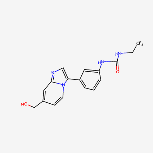 O=C(NCC(F)(F)F)Nc1cccc(-c2cnc3cc(CO)ccn23)c1